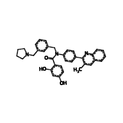 Cc1cc2ccccc2nc1-c1ccc(N(Cc2cccc(CN3CCCC3)c2)C(=O)c2ccc(O)cc2O)cc1